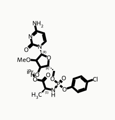 COC1C(O)[C@@H](COP(=O)(N[C@@H](C)C(=O)OC(C)C)Oc2ccc(Cl)cc2)O[C@H]1n1ccc(N)nc1=O